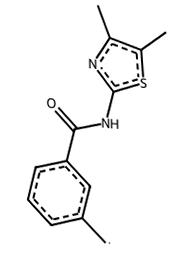 [CH2]c1cccc(C(=O)Nc2nc(C)c(C)s2)c1